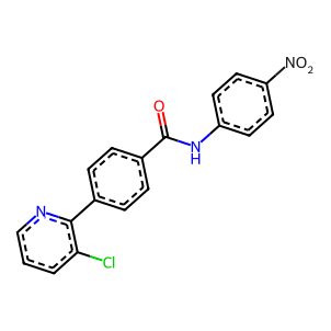 O=C(Nc1ccc([N+](=O)[O-])cc1)c1ccc(-c2ncccc2Cl)cc1